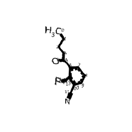 CCCCC(=O)c1cccc(C#N)c1F